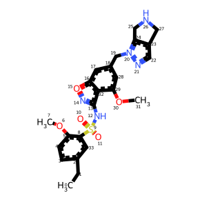 CCc1ccc(OC)c(S(=O)(=O)Nc2noc3cc(Cn4ncc5c4CNC5)cc(OC)c23)c1